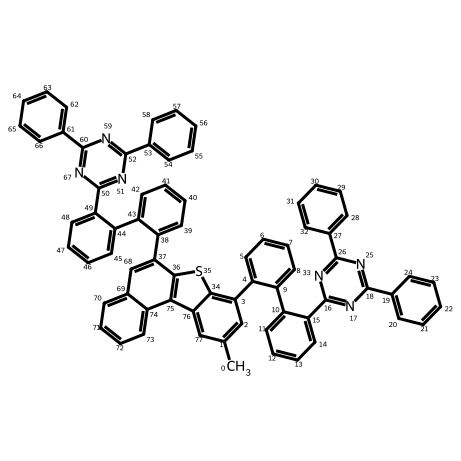 Cc1cc(-c2ccccc2-c2ccccc2-c2nc(-c3ccccc3)nc(-c3ccccc3)n2)c2sc3c(-c4ccccc4-c4ccccc4-c4nc(-c5ccccc5)nc(-c5ccccc5)n4)cc4ccccc4c3c2c1